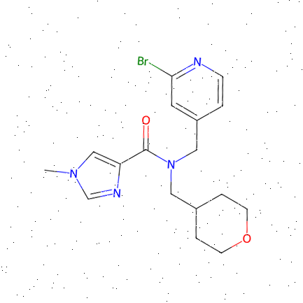 Cn1cnc(C(=O)N(Cc2ccnc(Br)c2)CC2CCOCC2)c1